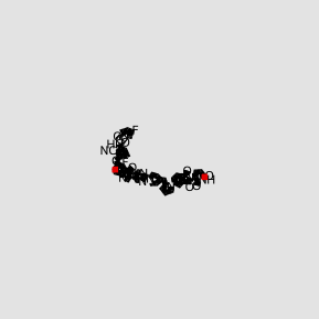 N#Cc1c(NS(=O)(=O)N2CC[C@@H](F)C2)ccc(F)c1Oc1ccc2ncn(-c3cnc(N4CCC(CC5CCCN5c5ccc6c(c5)C(=O)N(C5CCC(=O)NC5=O)C6=O)CC4)nc3)c(=O)c2c1